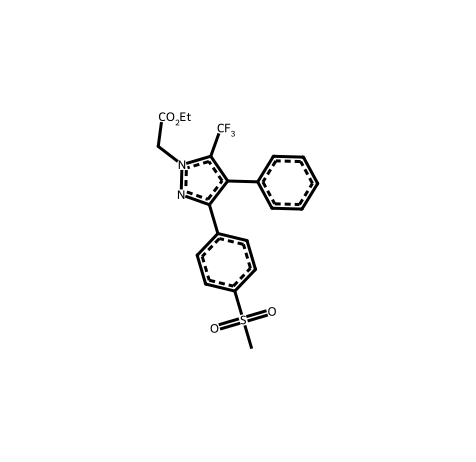 CCOC(=O)Cn1nc(-c2ccc(S(C)(=O)=O)cc2)c(-c2ccccc2)c1C(F)(F)F